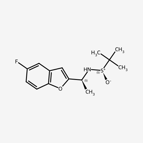 C[C@H](N[S@+]([O-])C(C)(C)C)c1cc2cc(F)ccc2o1